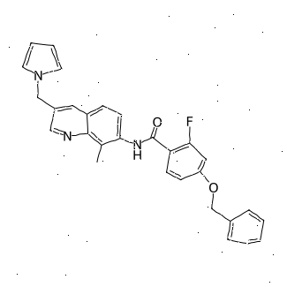 Cc1c(NC(=O)c2ccc(OCc3ccccc3)cc2F)ccc2cc(Cn3cccc3)cnc12